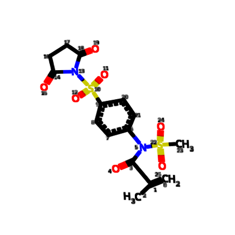 C=C(C)C(=O)N(c1ccc(S(=O)(=O)N2C(=O)CCC2=O)cc1)S(C)(=O)=O